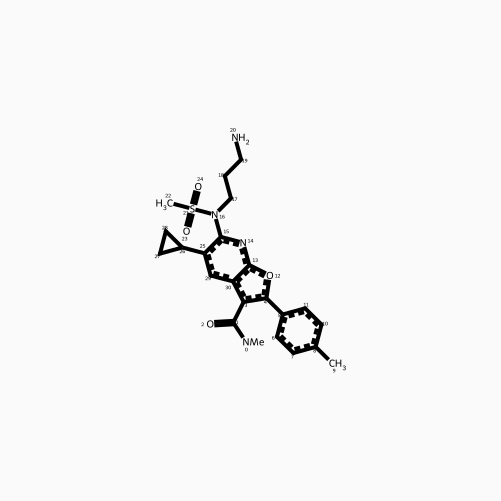 CNC(=O)c1c(-c2ccc(C)cc2)oc2nc(N(CCCN)S(C)(=O)=O)c(C3CC3)cc12